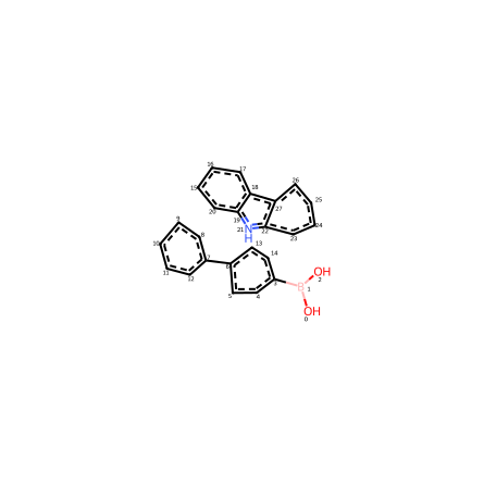 OB(O)c1ccc(-c2ccccc2)cc1.c1ccc2c(c1)[nH]c1ccccc12